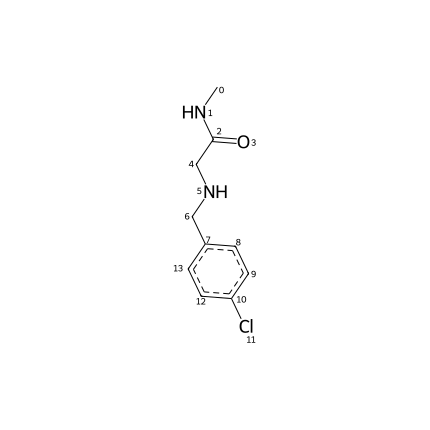 CNC(=O)CNCc1ccc(Cl)cc1